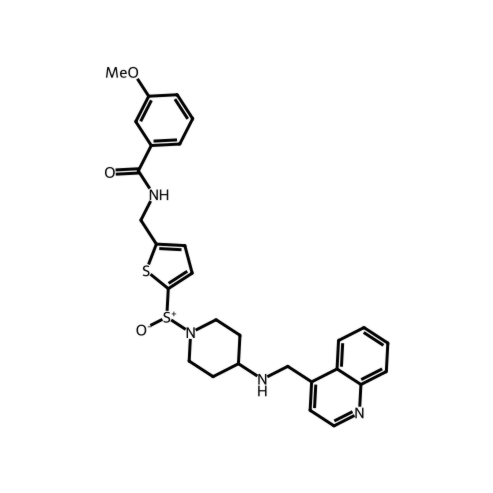 COc1cccc(C(=O)NCc2ccc([S+]([O-])N3CCC(NCc4ccnc5ccccc45)CC3)s2)c1